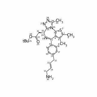 Cc1sc2c(c1C)C(c1ccc(CC=CCN)cc1)=N[C@@H](CC(=O)OC(C)(C)C)c1nnc(C)n1-2